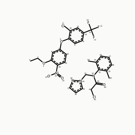 CCOc1cc(Oc2ccc(C(F)(F)F)cc2Cl)ccc1[N+](=O)[O-].Cc1cccc(C)c1N(Cn1cccn1)C(=O)CCl